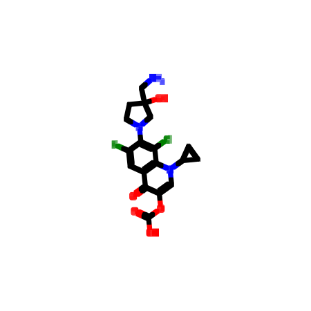 NCC1(O)CCN(c2c(F)cc3c(=O)c(OC(=O)O)cn(C4CC4)c3c2Cl)C1